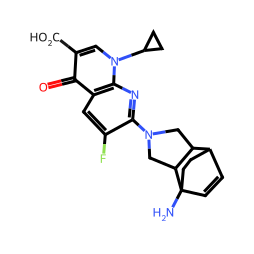 NC12C=CC(CC1)C1CN(c3nc4c(cc3F)c(=O)c(C(=O)O)cn4C3CC3)CC12